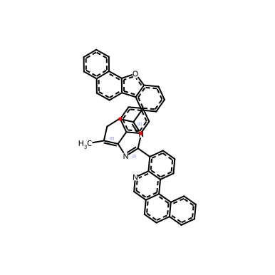 C\C1=C(c2ccccc2)/N=C(c2cccc3c2ncc2ccc4ccccc4c23)\N=C(\c2cccc3oc4c5ccccc5ccc4c23)CC1